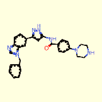 O=C(Nc1cc(-c2ccc3ncn(Cc4ccccc4)c3c2)n[nH]1)c1ccc(N2CCNCC2)cc1